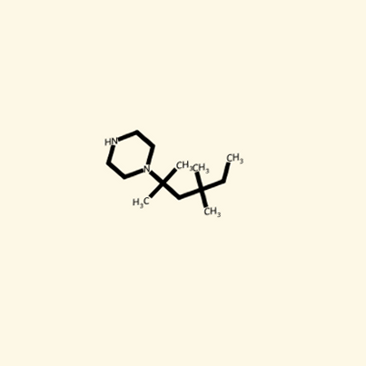 CCC(C)(C)CC(C)(C)N1CCNCC1